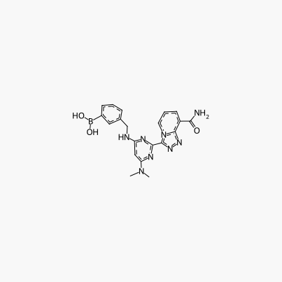 CN(C)c1cc(NCc2cccc(B(O)O)c2)nc(-c2nnc3c(C(N)=O)cccn23)n1